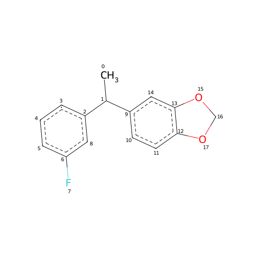 CC(c1[c]ccc(F)c1)c1ccc2c(c1)OCO2